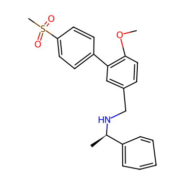 COc1ccc(CN[C@H](C)c2ccccc2)cc1-c1ccc(S(C)(=O)=O)cc1